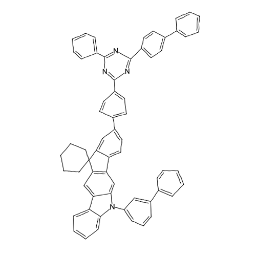 c1ccc(-c2ccc(-c3nc(-c4ccccc4)nc(-c4ccc(-c5ccc6c(c5)C5(CCCCC5)c5cc7c8ccccc8n(-c8cccc(-c9ccccc9)c8)c7cc5-6)cc4)n3)cc2)cc1